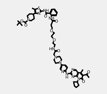 CC(=O)c1c(C)c2cnc(Nc3ccc(N4CCN(CC(=O)NCCOCCOCCC(=O)Nc5ccccc5C(=O)Nc5nc(C6CCN(C(=O)OC(C)(C)C)CC6)c(C)s5)CC4)cn3)nc2n(C2CCCC2)c1=O